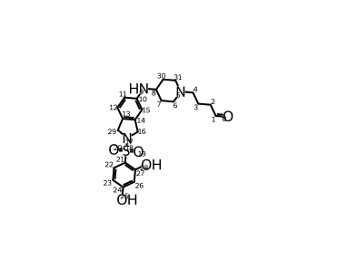 O=CCCCN1CCC(Nc2ccc3c(c2)CN(S(=O)(=O)c2ccc(O)cc2O)C3)CC1